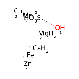 O=S(=O)(O)O.[CaH2].[Cu].[Fe].[MgH2].[Mn].[Zn]